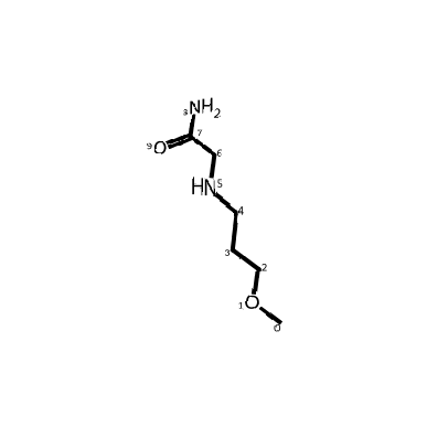 COCCCNCC(N)=O